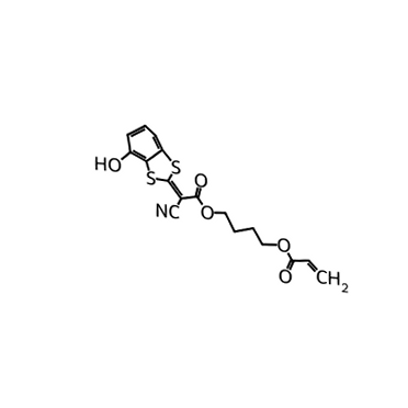 C=CC(=O)OCCCCOC(=O)/C(C#N)=C1\Sc2cccc(O)c2S1